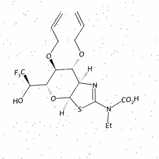 C=CCO[C@H]1[C@H](OCC=C)[C@H]2N=C(N(CC)C(=O)O)S[C@H]2O[C@@H]1[C@@H](O)C(F)(F)F